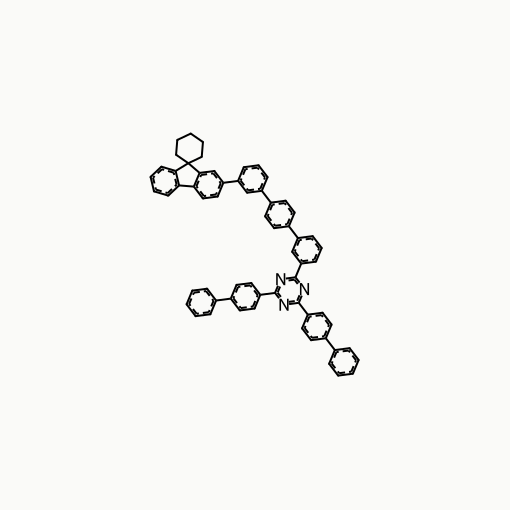 c1ccc(-c2ccc(-c3nc(-c4ccc(-c5ccccc5)cc4)nc(-c4cccc(-c5ccc(-c6cccc(-c7ccc8c(c7)C7(CCCCC7)c7ccccc7-8)c6)cc5)c4)n3)cc2)cc1